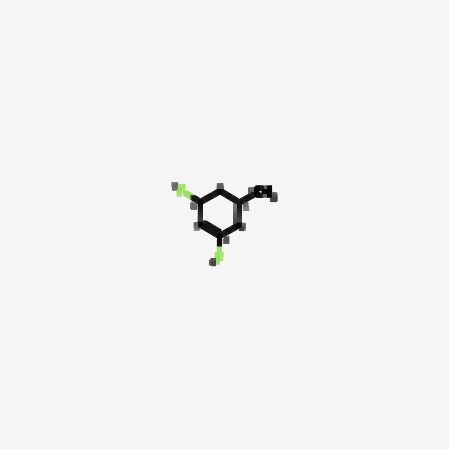 CC1=CC(F)=CC(F)C1